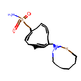 NS(=O)(=O)c1ccc(N2CCCCS2)cc1